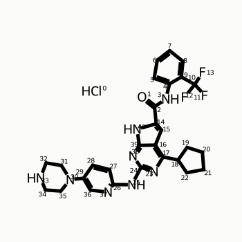 Cl.O=C(Nc1ccccc1C(F)(F)F)c1cc2c(C3CCCC3)nc(Nc3ccc(N4CCNCC4)cn3)nc2[nH]1